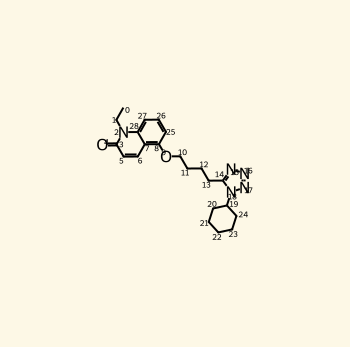 CCn1c(=O)ccc2c(OCCCCc3nnnn3C3CCCCC3)cccc21